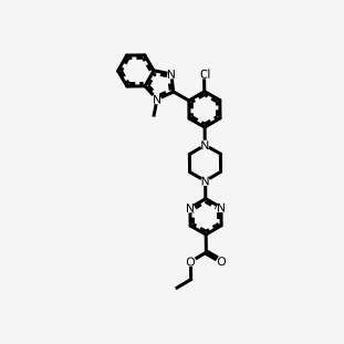 CCOC(=O)c1cnc(N2CCN(c3ccc(Cl)c(-c4nc5ccccc5n4C)c3)CC2)nc1